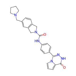 O=C(Nc1ccc(-c2n[nH]c(=O)c3cccn23)cc1)N1Cc2ccc(CN3CCCC3)cc2C1